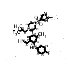 CCn1ncc(S(=O)(=O)N2CCN(CC(C)C(F)(F)F)[C@H](c3cc(C=N)c(Nc4ccc(F)cc4)cc3C)C2)n1